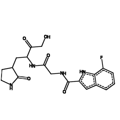 O=C(CNC(=O)c1cc2cccc(F)c2[nH]1)NC(CC1CCNC1=O)C(=O)CO